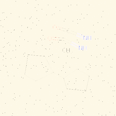 C.C1CCC(C2CCCC2)C1.N=C=O.N=C=O